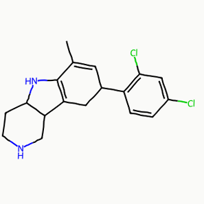 CC1=CC(c2ccc(Cl)cc2Cl)CC2=C1NC1CCNCC21